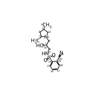 CC1CC(C)N(C[C@H](O)CNS(=O)(=O)c2ccccc2C#N)C1